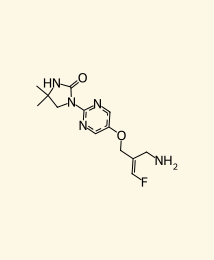 CC1(C)CN(c2ncc(OC/C(=C/F)CN)cn2)C(=O)N1